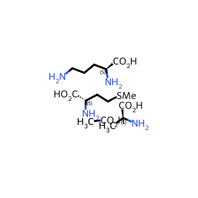 CC(=O)O.CSCC[C@H](N)C(=O)O.C[C@H](N)C(=O)O.NCCC[C@H](N)C(=O)O